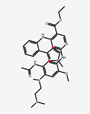 CCOC(=O)c1cnc(Nc2cc(NC(C)=O)c(N(C)CCN(C)C)cc2OC)nc1Nc1ccccc1-c1ccn(C)n1